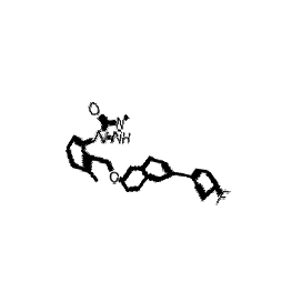 Cc1cccc(-n2[nH]n(C)c2=O)c1COc1ccc2cc(-c3ccc(F)cc3)ccc2c1